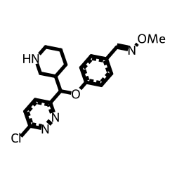 CON=Cc1ccc(OC(c2ccc(Cl)nn2)C2CCCNC2)cc1